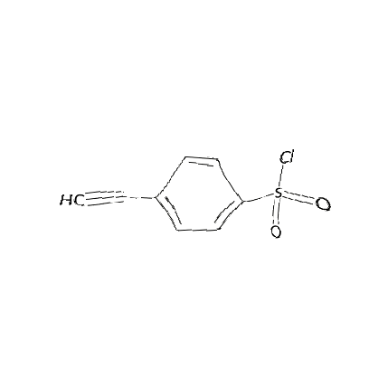 C#Cc1ccc(S(=O)(=O)Cl)cc1